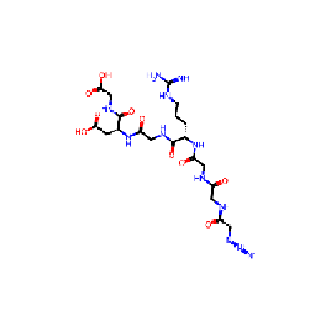 [N-]=[N+]=NCC(=O)NCC(=O)NCC(=O)N[C@@H](CCCNC(=N)N)C(=O)NCC(=O)N[C@@H](CC(=O)O)C(=O)NCC(=O)O